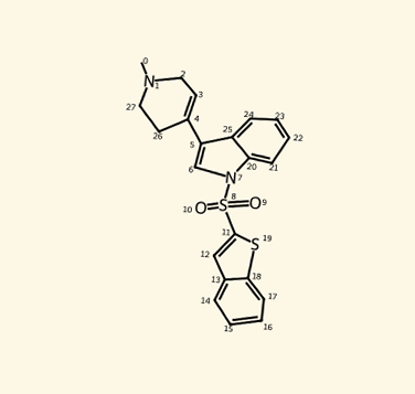 CN1CC=C(c2cn(S(=O)(=O)c3cc4ccccc4s3)c3ccccc23)CC1